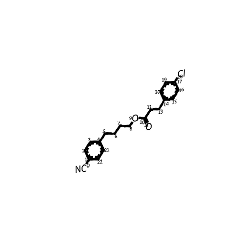 N#Cc1ccc(CCCCOC(=O)CCc2ccc(Cl)cc2)cc1